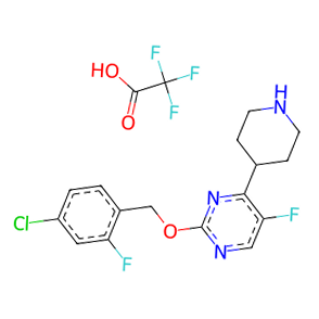 Fc1cc(Cl)ccc1COc1ncc(F)c(C2CCNCC2)n1.O=C(O)C(F)(F)F